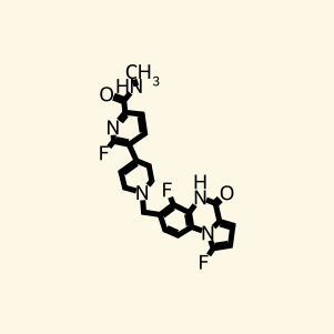 CNC(=O)c1ccc(C2=CCN(Cc3ccc4c([nH]c(=O)c5ccc(F)n54)c3F)CC2)c(F)n1